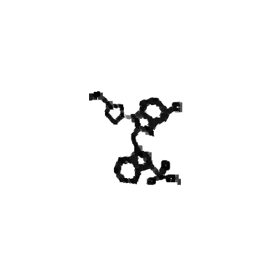 CCCN1CC[C@@H](n2c(Cn3nc(S(C)(=O)=O)c4ccccc43)nc3cc(Cl)ccc32)C1